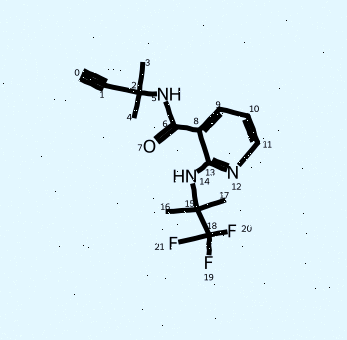 C#CC(C)(C)NC(=O)c1cccnc1NC(C)(C)C(F)(F)F